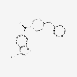 CC(C)n1nnc2cc(C(=O)N3CCC(Cc4ccccc4)CC3)ccc21